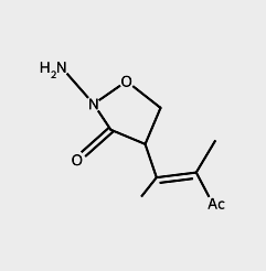 CC(=O)C(C)=C(C)C1CON(N)C1=O